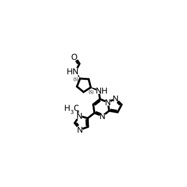 Cn1cncc1-c1cc(N[C@H]2CC[C@H](NC=O)C2)n2nccc2n1